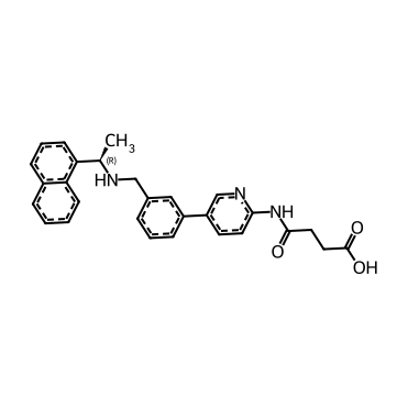 C[C@@H](NCc1cccc(-c2ccc(NC(=O)CCC(=O)O)nc2)c1)c1cccc2ccccc12